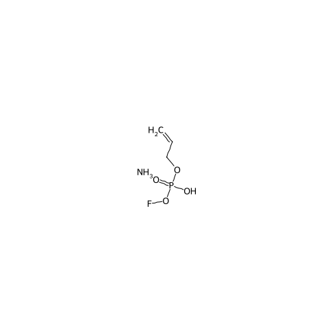 C=CCOP(=O)(O)OF.N